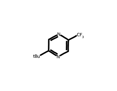 CC(C)(C)c1cnc(C(F)(F)F)cn1